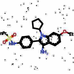 CCCS(=O)(=O)Nc1ccc(-c2c(N)c3ccc(OCC)cc3n2C2CCCC2)cc1